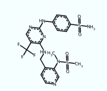 CN(c1cnccc1CNc1nc(Nc2ccc(S(N)(=O)=O)cc2)ncc1C(F)(F)F)S(C)(=O)=O